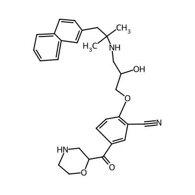 CC(C)(Cc1ccc2ccccc2c1)NCC(O)COc1ccc(C(=O)C2CNCCO2)cc1C#N